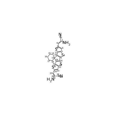 N#C/C(N)=C/c1cc2sc3c(c2s1)C1(CCCCC1)c1c-3sc2cc(/C=C(/N)C#N)sc12